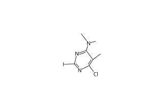 Cc1c(Cl)nc(I)nc1N(C)C